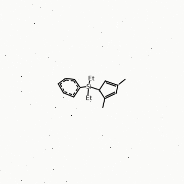 CC[Si](CC)([C]1C=C(C)C=C1C)c1ccccc1